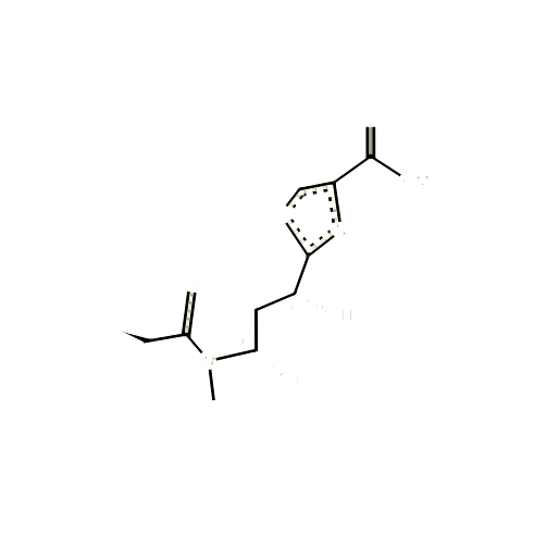 CC[C@H](C)CC(=O)N(C)[C@H](C[C@@H](O)c1nc(C(=O)OC)cs1)C(C)C